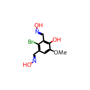 COc1cc(/C=N/O)c(Br)c(/C=N/O)c1O